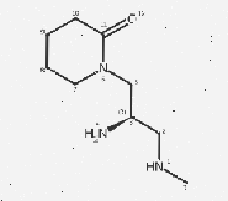 CNC[C@@H](N)CN1CCCCC1=O